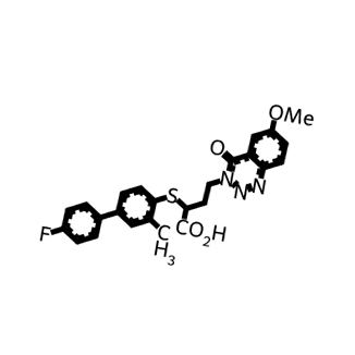 COc1ccc2nnn(CCC(Sc3ccc(-c4ccc(F)cc4)cc3C)C(=O)O)c(=O)c2c1